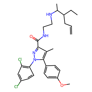 C=CCC(CC)C(C)NCCNC(=O)c1nn(-c2ccc(Cl)cc2Cl)c(-c2ccc(OC)cc2)c1C